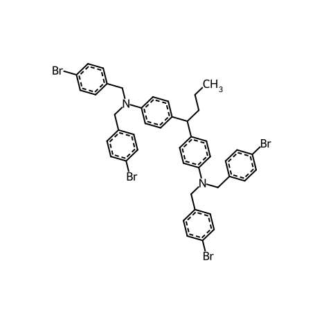 CCCC(c1ccc(N(Cc2ccc(Br)cc2)Cc2ccc(Br)cc2)cc1)c1ccc(N(Cc2ccc(Br)cc2)Cc2ccc(Br)cc2)cc1